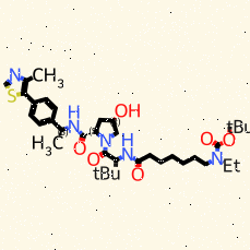 CCN(CCCCCCC(=O)NC(C(=O)N1C[C@H](O)C[C@H]1C(=O)N[C@@H](C)c1ccc(-c2scnc2C)cc1)C(C)(C)C)C(=O)OC(C)(C)C